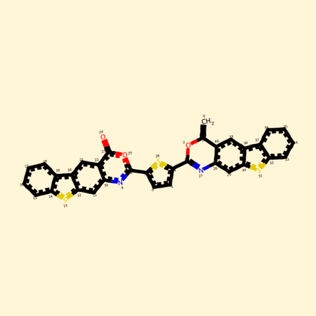 C=C1OC(c2ccc(-c3nc4cc5sc6ccccc6c5cc4c(=O)o3)s2)=Nc2cc3sc4ccccc4c3cc21